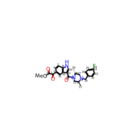 COC(=O)C(=O)c1ccc2[nH]cc(C(=O)N3C[C@H](C)N(Cc4ccc(F)cc4)C[C@H]3C)c2c1